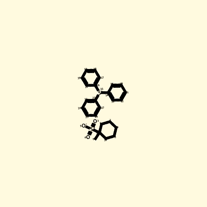 CC1(S(=O)(=O)[O-])CCCCC1.c1ccc([S+](c2ccccc2)c2ccccc2)cc1